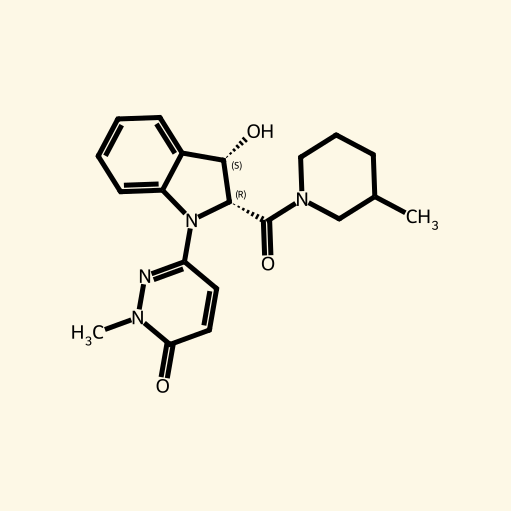 CC1CCCN(C(=O)[C@H]2[C@@H](O)c3ccccc3N2c2ccc(=O)n(C)n2)C1